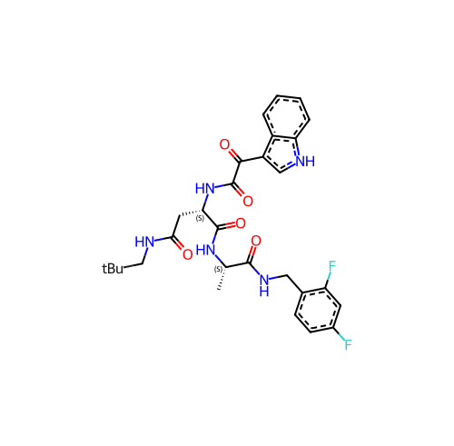 C[C@H](NC(=O)[C@H](CC(=O)NCC(C)(C)C)NC(=O)C(=O)c1c[nH]c2ccccc12)C(=O)NCc1ccc(F)cc1F